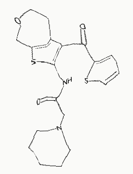 O=C(CN1CCCCC1)Nc1sc2c(c1C(=O)c1cccs1)CCOC2